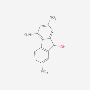 O=[N+]([O-])c1ccc2c(c1)C(O)c1cc([N+](=O)[O-])cc([N+](=O)[O-])c1-2